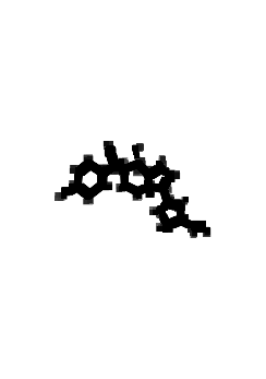 C[C@@H]1c2nnc(-c3nc(N)ns3)n2CCN1C(=O)c1ccc(F)cc1